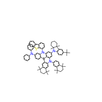 CC(C)(C)c1ccc2c(c1)C1(C)CCCCC1(C)N2c1cc2c3c(c1)N(c1cccc4c1sc1ccccc14)c1cc(N(c4ccccc4)c4ccccc4)ccc1B3c1cc3c(cc1N2c1ccc2c(c1)C(C)(C)CCC2(C)C)C(C)(C)CCC3(C)C